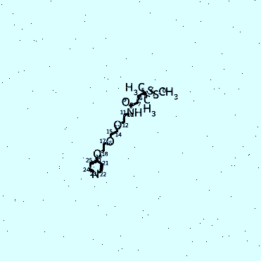 CSSC(C)(C)CCC(=O)NCCOCCOCCOc1ccncc1